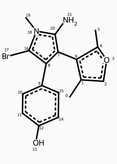 Cc1coc(C)c1-c1c(-c2ccc(O)cc2)c(Br)n(C)c1N